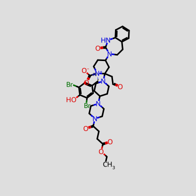 CCOC(=O)CCC(=O)N1CCN(C2CCN(C3(CC=O)CC(N4CCc5ccccc5NC4=O)CC[N@+]3(Cc3cc(Br)c(O)c(Br)c3)C(=O)[O-])CC2)CC1